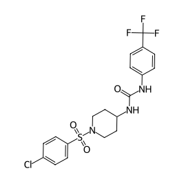 O=C(Nc1ccc(C(F)(F)F)cc1)NC1CCN(S(=O)(=O)c2ccc(Cl)cc2)CC1